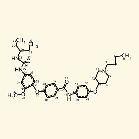 CCCCN1CCC(Oc2ccc(NC(=O)c3ccc(Oc4ccc(NC(=O)NC(CC)CC)cc4OC)cc3)cc2)CC1